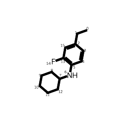 CCc1ccc(NC2CCCCC2)c(F)c1